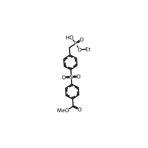 CCOP(=O)(O)Cc1ccc(S(=O)(=O)c2ccc(C(=O)OC)cc2)cc1